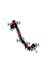 Nc1ncc(-c2ccc(SNc3ccc(NC(=O)CCOCCOCCOCCOCCOCCNc4ccccc4C(=O)NC4CCC(=O)NC4=O)cc3)cc2F)cc1-c1ccc2c(c1)CCNC2=O